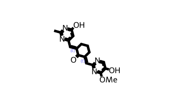 COc1nc(/C=C2\CCC/C(=C\c3cc(O)nc(C)n3)C2=O)ncc1O